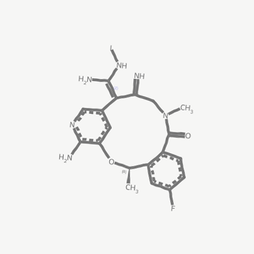 C[C@H]1Oc2cc(cnc2N)/C(=C(\N)NI)C(=N)CN(C)C(=O)c2ccc(F)cc21